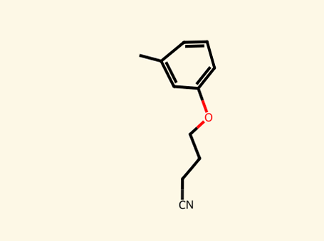 Cc1cccc(OCCCC#N)c1